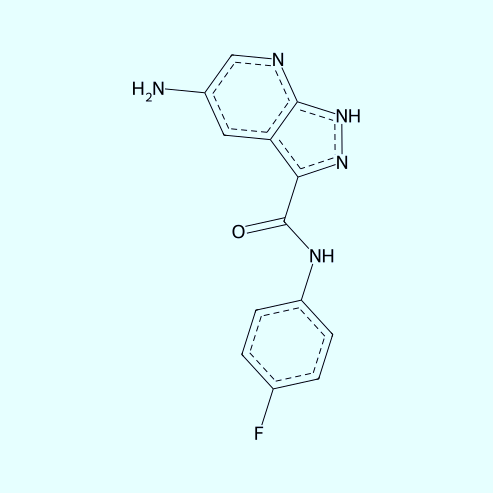 Nc1cnc2[nH]nc(C(=O)Nc3ccc(F)cc3)c2c1